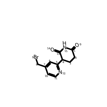 O=C1CCC(c2cc(CBr)ccn2)C(=O)N1